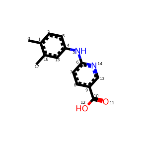 Cc1ccc(Nc2ccc(C(=O)O)cn2)cc1C